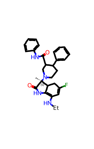 CCNC1=C2NC(=O)[C@@](C)(N3CCC(c4ccccc4)C(C(=O)Nc4ccccc4)C3)C2CC(F)=C1